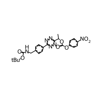 CC(OC(=O)Oc1ccc([N+](=O)[O-])cc1)c1nnc(-c2ccc(CNC(=O)OC(C)(C)C)cc2)nn1